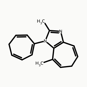 CC1=CCC=Cc2nc(C)n(C3=CC=CCC=C3)c21